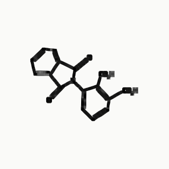 O=C(O)c1cccc(N2C(=O)c3ccccc3C2=O)c1C(=O)O